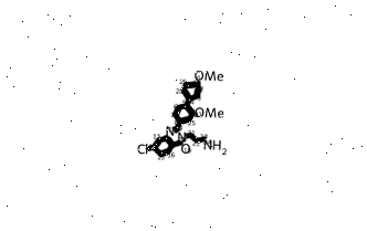 COc1ccc(-c2ccc(-c3nc4cc(Cl)ccc4c(=O)n3CCCN)cc2OC)cc1